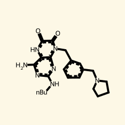 CCCCNc1nc(N)c2[nH]c(=O)c(=O)n(Cc3cccc(CN4CCCC4)c3)c2n1